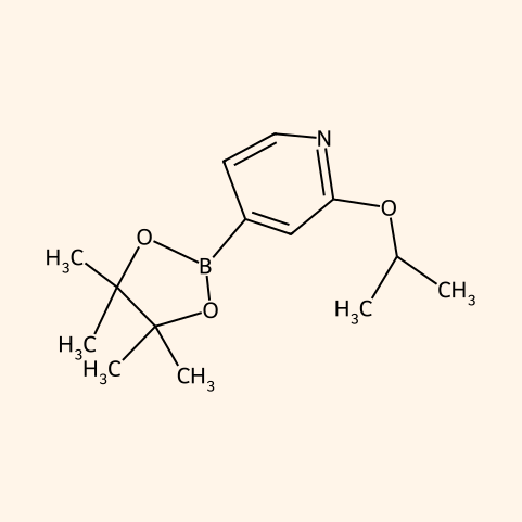 CC(C)Oc1cc(B2OC(C)(C)C(C)(C)O2)ccn1